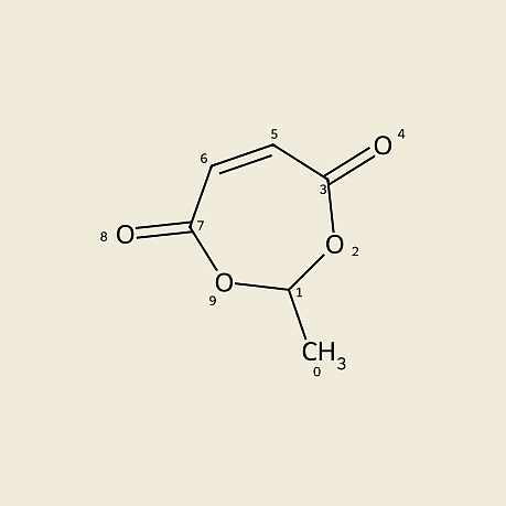 CC1OC(=O)C=CC(=O)O1